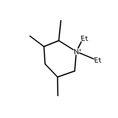 CC[N+]1(CC)CC(C)CC(C)C1C